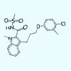 Cc1cc(OCCCc2c(C(=O)NS(C)(=O)=O)n(C)c3ccccc23)ccc1Cl